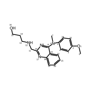 COc1ccc(N(C)c2nc(CNCCCO)nc3ccccc23)cc1